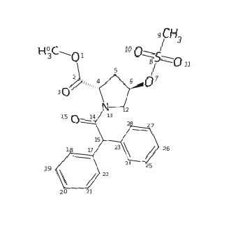 COC(=O)[C@@H]1C[C@@H](OS(C)(=O)=O)CN1C(=O)C(c1ccccc1)c1ccccc1